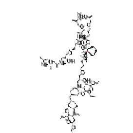 C=C(O)COCCC[SiH](NC(C)COCC(C)N)O[Si](O[Si](C)(C)CCCOCC(O)CNC(C)COCC(C)N)(O[Si](C)(C)O[Si](C)(C)CCCOCC(O)CN(C1CCC(CC2CCC(N(C)C(CC(=O)OCC)C(=O)OCC)CC2)CC1)C(CC(=O)OCC)C(=O)OCC)c1ccccc1